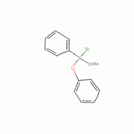 CO[Si](Br)(Oc1ccccc1)c1ccccc1